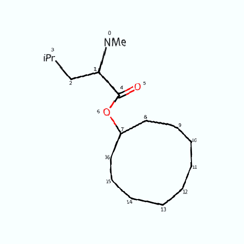 CNC(CC(C)C)C(=O)OC1CCCCCCCCC1